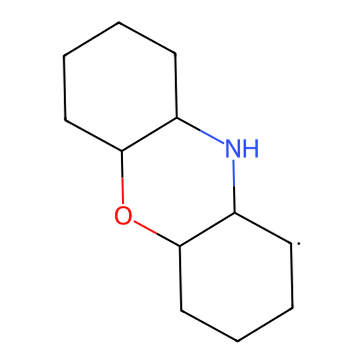 [CH]1CCCC2OC3CCCCC3NC12